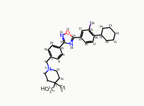 CCC1(C(=O)O)CCN(Cc2ccc(-c3noc(-c4ccc(C5CCCCC5)c(I)c4)n3)cc2)CC1